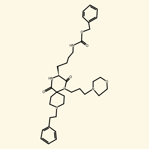 O=C(NCCCC[C@@H]1NC(=O)C2(CCN(CCc3ccccc3)CC2)N(CCCN2CCOCC2)C1=O)OCc1ccccc1